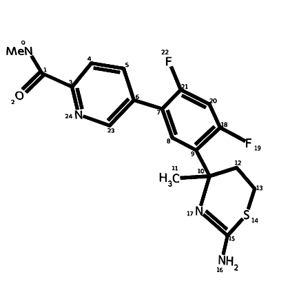 CNC(=O)c1ccc(-c2cc(C3(C)CCSC(N)=N3)c(F)cc2F)cn1